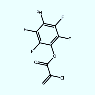 [2H]c1c(F)c(F)c(OC(=O)C(=C)Cl)c(F)c1F